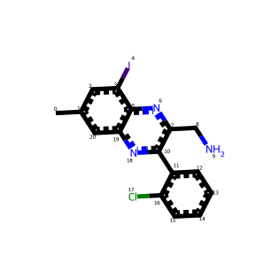 Cc1cc(I)c2nc(CN)c(-c3ccccc3Cl)nc2c1